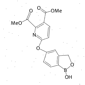 COC(=O)c1ccc(Oc2ccc3c(c2)COB3O)nc1C(=O)OC